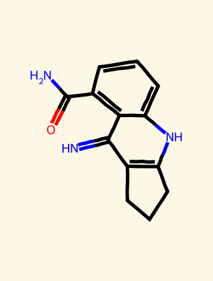 N=c1c2c([nH]c3cccc(C(N)=O)c13)CCC2